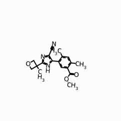 COC(=O)c1cc(-c2[nH]c(C3(C)COC3)nc2C#N)c(C)cc1C